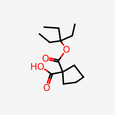 CCC(CC)(CC)OC(=O)C1(C(=O)O)CCCC1